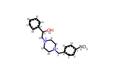 O=[N+]([O-])c1ccc(CN2CCN(CC(O)c3ccccc3)CC2)cc1